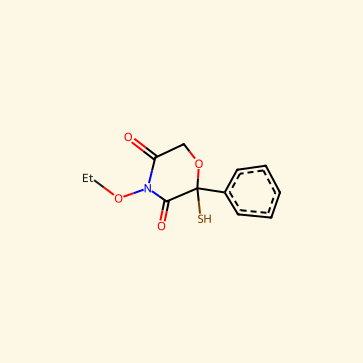 CCON1C(=O)COC(S)(c2ccccc2)C1=O